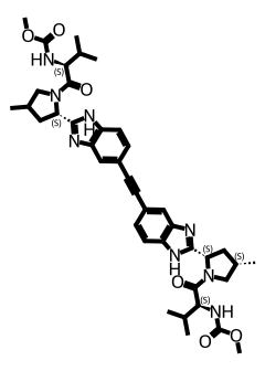 COC(=O)N[C@H](C(=O)N1CC(C)C[C@H]1c1nc2cc(C#Cc3ccc4[nH]c([C@@H]5C[C@H](C)CN5C(=O)[C@@H](NC(=O)OC)C(C)C)nc4c3)ccc2[nH]1)C(C)C